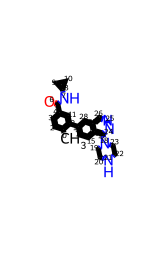 Cc1ccc(C(=O)NC2CC2)cc1-c1ccc2c(N3CCNCC3)nncc2c1